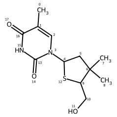 Cc1cn(C2CC(C)(C)C(CO)S2)c(=O)[nH]c1=O